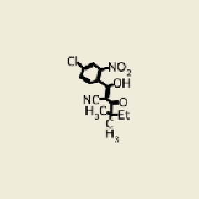 CCC(C)(C)C(=O)/C(C#N)=C(\O)c1ccc(Cl)cc1[N+](=O)[O-]